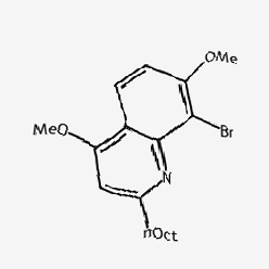 CCCCCCCCc1cc(OC)c2ccc(OC)c(Br)c2n1